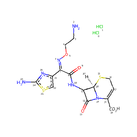 Cl.Cl.NCCO/N=C(\C(=O)NC1C(=O)N2C(C(=O)O)=CCS[C@H]12)c1csc(N)n1